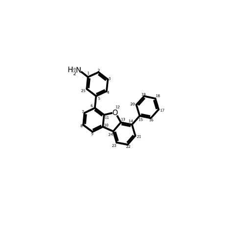 Nc1cccc(-c2cccc3c2oc2c(-c4ccccc4)cccc23)c1